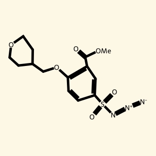 COC(=O)c1cc(S(=O)(=O)N=[N+]=[N-])ccc1OCC1CCOCC1